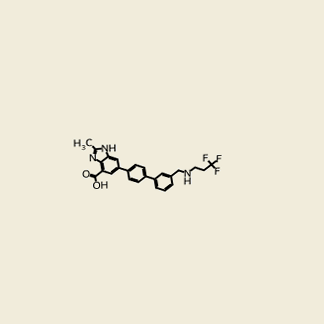 Cc1nc2c(C(=O)O)cc(-c3ccc(-c4cccc(CNCCC(F)(F)F)c4)cc3)cc2[nH]1